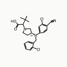 CC(C)(C)C(C(=O)O)N1CC[C@H](N(Cc2ccccc2Cl)c2ccc(C#N)c(Cl)c2)C1